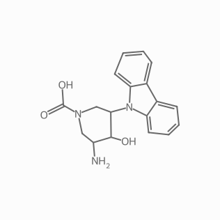 NC1CN(C(=O)O)CC(n2c3ccccc3c3ccccc32)C1O